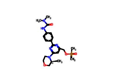 C=S(C)(=O)OCc1cc(N2CCOC[C@@H]2C)nc(-c2ccc(NC(=O)N(C)C)cc2)n1